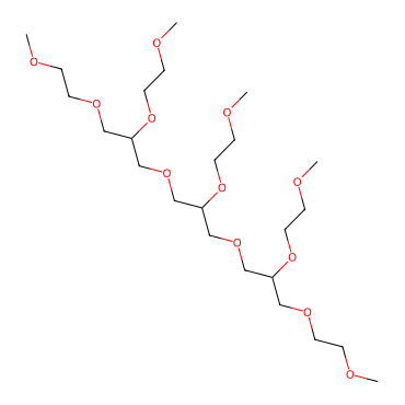 COCCOCC(COCC(COCC(COCCOC)OCCOC)OCCOC)OCCOC